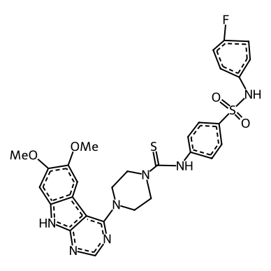 COc1cc2[nH]c3ncnc(N4CCN(C(=S)Nc5ccc(S(=O)(=O)Nc6ccc(F)cc6)cc5)CC4)c3c2cc1OC